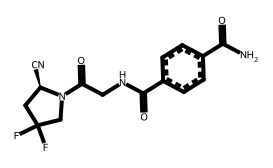 N#C[C@@H]1CC(F)(F)CN1C(=O)CNC(=O)c1ccc(C(N)=O)cc1